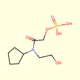 O=C(COP(=O)(O)O)N(CCO)C1CCCC1